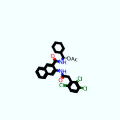 CC(=O)O[C@H](NC(=O)c1cc2ccccc2cc1NC(=O)Cc1c(Cl)ccc(Cl)c1Cl)C1CCCCC1